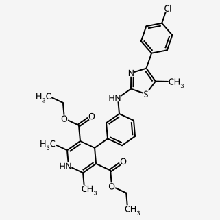 CCOC(=O)C1=C(C)NC(C)=C(C(=O)OCC)C1c1cccc(Nc2nc(-c3ccc(Cl)cc3)c(C)s2)c1